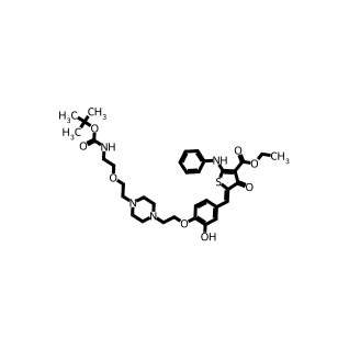 CCOC(=O)C1=C(Nc2ccccc2)S/C(=C\c2ccc(OCCN3CCN(CCOCCNC(=O)OC(C)(C)C)CC3)c(O)c2)C1=O